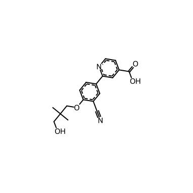 CC(C)(CO)COc1ccc(-c2cc(C(=O)O)ccn2)cc1C#N